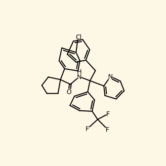 O=C(NC(Cc1ccccc1)(c1cccc(C(F)(F)F)c1)c1ccccn1)C1(c2ccc(Cl)cc2)CCCC1